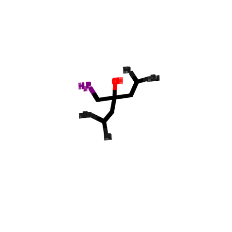 CCCCC(CC)CC(O)(CP)CC(CC)CCCC